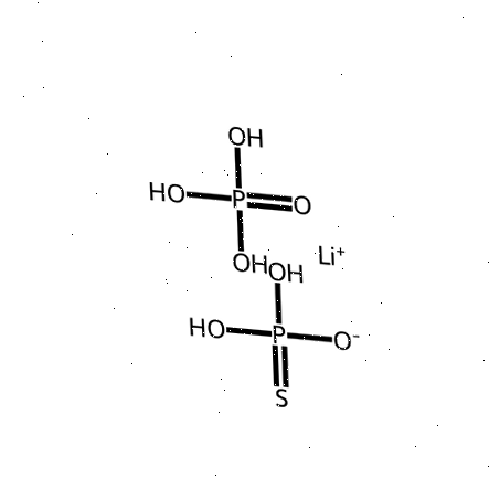 O=P(O)(O)O.[Li+].[O-]P(O)(O)=S